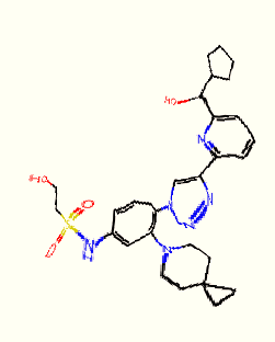 O=S(=O)(CCO)Nc1ccc(-n2cc(-c3cccc([C@@H](O)C4CCCC4)n3)nn2)c(N2CCC3(CC2)CC3)c1